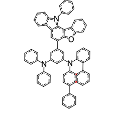 c1ccc(-c2ccc(N(c3cc(-c4cc5c6ccccc6n(-c6ccccc6)c5c5c4oc4ccccc45)cc(N(c4ccccc4)c4ccccc4)c3)c3ccccc3-c3ccccc3)cc2)cc1